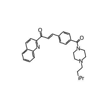 CC(C)CCN1CCN(C(=O)c2ccc(C=CC(=O)c3ccc4ccccc4n3)cc2)CC1